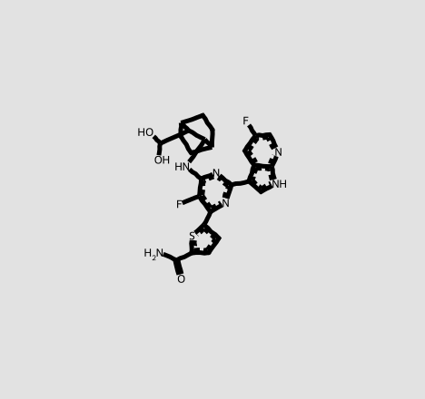 NC(=O)c1ccc(-c2nc(-c3c[nH]c4ncc(F)cc34)nc(NC3C4CCC(CC4)C3C(O)O)c2F)s1